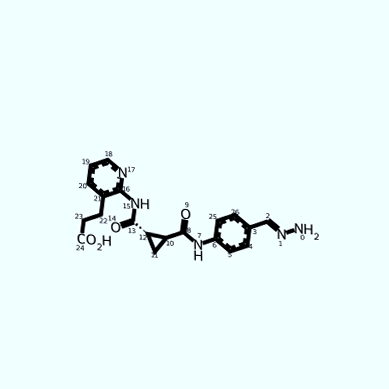 NN=Cc1ccc(NC(=O)C2C[C@@H]2C(=O)Nc2ncccc2CCC(=O)O)cc1